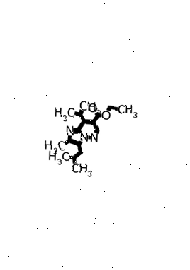 CCOC(=O)c1cnn2c(CC(C)C)c(C)nc2c1C(C)C